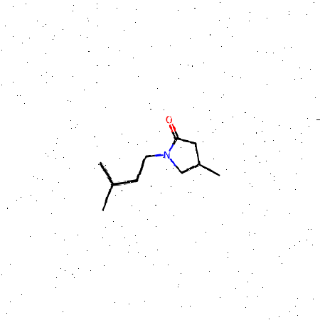 CC(C)CCN1CC(C)CC1=O